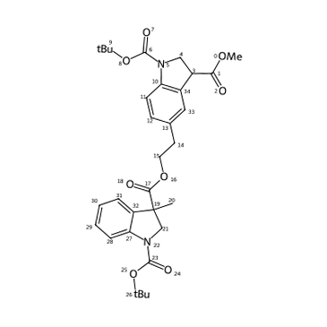 COC(=O)C1CN(C(=O)OC(C)(C)C)c2ccc(CCOC(=O)C3(C)CN(C(=O)OC(C)(C)C)c4ccccc43)cc21